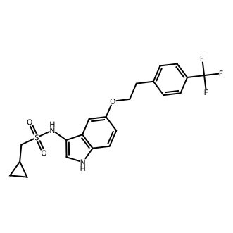 O=S(=O)(CC1CC1)Nc1c[nH]c2ccc(OCCc3ccc(C(F)(F)F)cc3)cc12